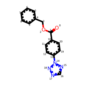 O=C(OCc1ccccc1)c1ccc(-n2ncnn2)cc1